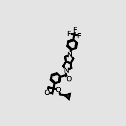 O=C(c1cccc(C2(OCC3CC3)COC2)c1)N1CC2CN(c3ccc(C(F)(F)F)cc3)CC2C1